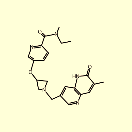 CCN(C)C(=O)c1ccc(OC2CN(Cc3cnc4cc(C)c(=O)[nH]c4c3)C2)cn1